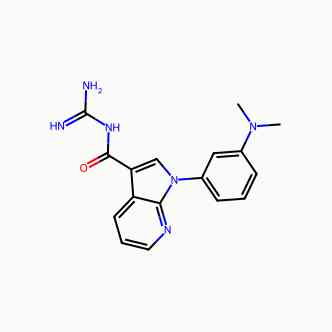 CN(C)c1cccc(-n2cc(C(=O)NC(=N)N)c3cccnc32)c1